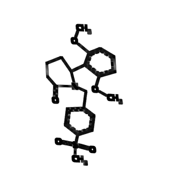 COc1cccc(OC)c1C1CCCC(=O)N1Cc1ccc(S(C)(=O)=O)cc1